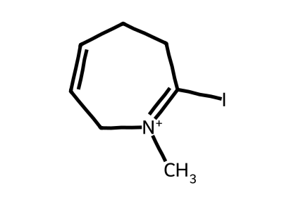 C[N+]1=C(I)CCC=CC1